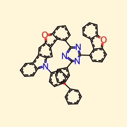 c1ccc(-c2cccc(-c3nc(-c4cccc5oc6ccccc6c45)nc(-c4cccc5oc6cc7c8ccccc8n(-c8ccccc8)c7cc6c45)n3)c2)cc1